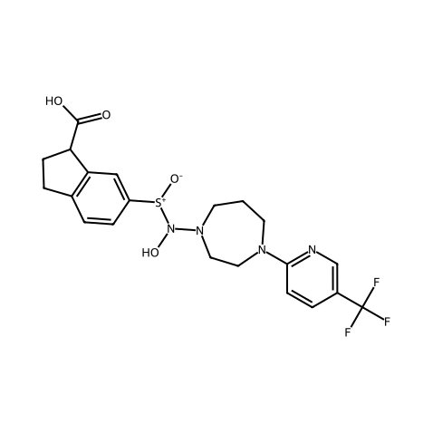 O=C(O)C1CCc2ccc([S+]([O-])N(O)N3CCCN(c4ccc(C(F)(F)F)cn4)CC3)cc21